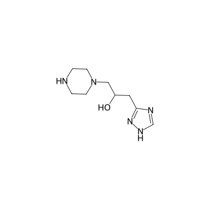 OC(Cc1nc[nH]n1)CN1CCNCC1